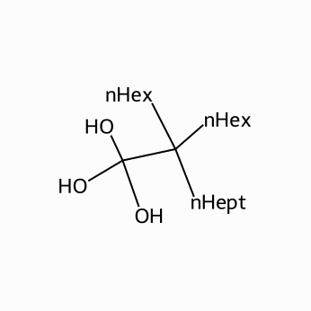 CCCCCCCC(CCCCCC)(CCCCCC)C(O)(O)O